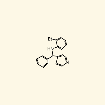 CCc1ccccc1NC(c1ccccc1)c1ccncc1